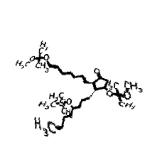 CCCCC(CCC[C@H]1[C@H](OC(C)(C)OC)CC(=O)[C@@H]1CCC/C=C/C=C/OC(C)(C)OC)O[Si](C)(C)C